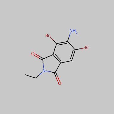 CCN1C(=O)c2cc(Br)c(N)c(Br)c2C1=O